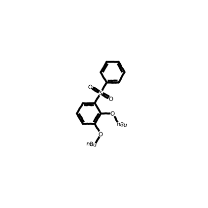 CCCCOc1cccc(S(=O)(=O)c2ccccc2)c1OCCCC